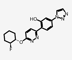 Oc1cc(-n2ccnn2)ccc1-c1ccc(O[C@H]2CCCC[C@@H]2F)nn1